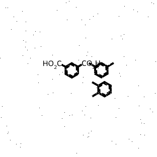 Cc1cccc(C)c1.Cc1ccccc1C.O=C(O)c1cccc(C(=O)O)c1